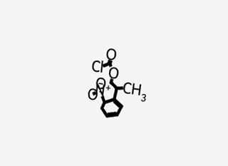 CC(COC(=O)Cl)C1=CC=CCC1[N+](=O)[O-]